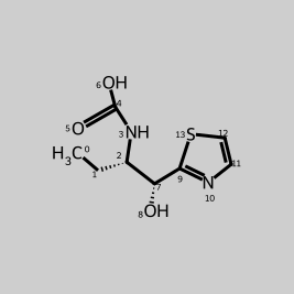 CC[C@H](NC(=O)O)[C@@H](O)c1nccs1